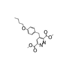 CCCCOc1ccc(Cc2cc(C(=O)OC)nnc2C(=O)OC)cc1